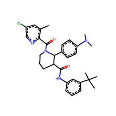 Cc1cc(Cl)cnc1C(=O)N1CCCC(C(=O)Nc2cccc(C(C)(C)C)c2)C1c1ccc(N(C)C)cc1